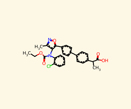 CCOC(=O)N(c1ccccc1Cl)c1c(C)noc1-c1ccc(-c2ccc(C(C)C(=O)O)cc2)cc1